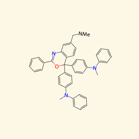 CNCc1ccc2c(c1)N=C(c1ccccc1)OC2(c1ccc(N(C)c2ccccc2)cc1)c1ccc(N(C)c2ccccc2)cc1